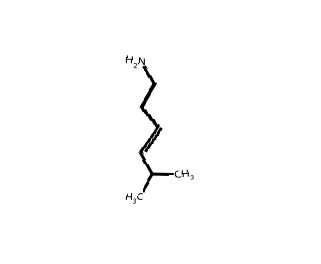 CC(C)/C=C/CCN